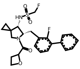 O=C(C1CCO1)N1CC2(CC2)[C@H](NS(=O)(=O)CF)[C@@H]1Cc1cccc(-c2ccccc2)c1F